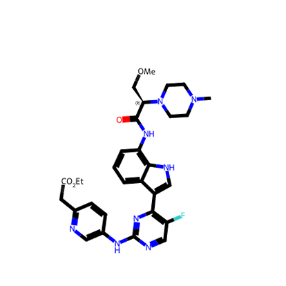 CCOC(=O)Cc1ccc(Nc2ncc(F)c(-c3c[nH]c4c(NC(=O)[C@@H](COC)N5CCN(C)CC5)cccc34)n2)cn1